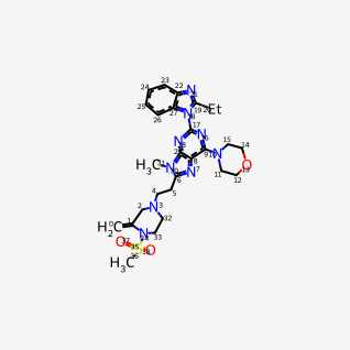 C=C1CN(CCc2nc3c(N4CCOCC4)nc(-n4c(CC)nc5ccccc54)nc3n2C)CCN1S(C)(=O)=O